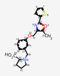 Cc1oc(-c2cccs2)nc1COc1cccc(CN2CCC[C@H]2C(=O)O)c1